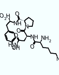 NCCCC[C@H](N)C(=O)N[C@@H](CC(N)=O)C(=O)N1CCC[C@H]1C(=O)N[C@@H](Cc1ccc(O)cc1)C(=O)O